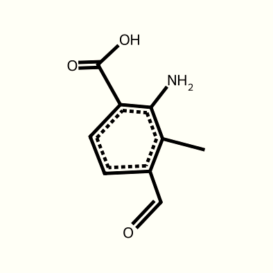 Cc1c(C=O)ccc(C(=O)O)c1N